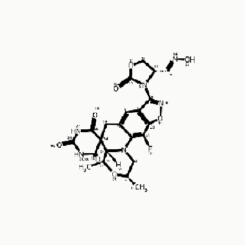 C[C@@H]1CN2c3c(cc4c(N5C(=O)OC[C@@H]5/C=N/O)noc4c3F)CC3(C(=O)NC(=O)NC3=O)[C@H]2[C@H](C)O1